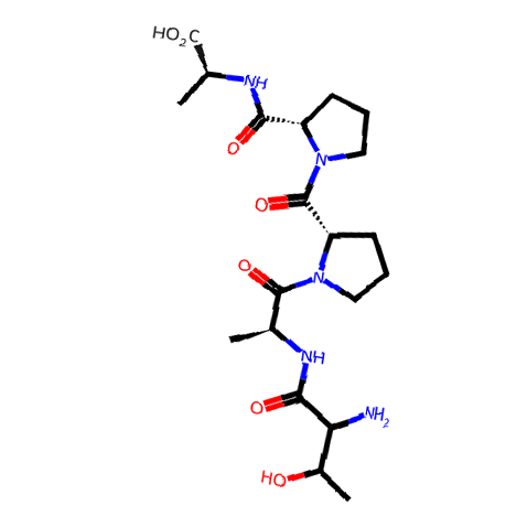 CC(O)C(N)C(=O)N[C@@H](C)C(=O)N1CCC[C@H]1C(=O)N1CCC[C@H]1C(=O)N[C@@H](C)C(=O)O